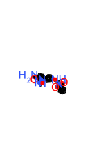 NC(=O)c1ccc(-c2ccc(NCCN3C(=O)c4ccccc4C3=O)cc2)n2n[c]nc12